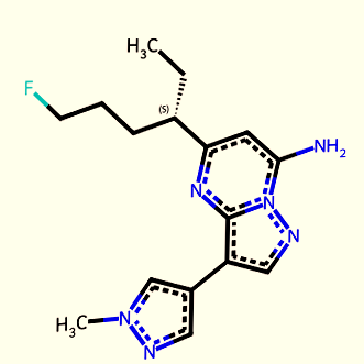 CC[C@@H](CCCF)c1cc(N)n2ncc(-c3cnn(C)c3)c2n1